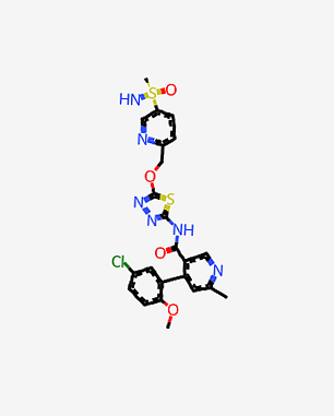 COc1ccc(Cl)cc1-c1cc(C)ncc1C(=O)Nc1nnc(OCc2ccc([S@](C)(=N)=O)cn2)s1